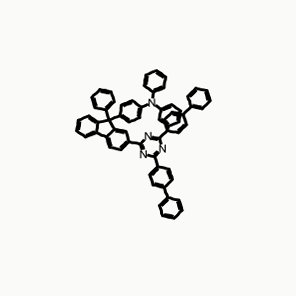 c1ccc(-c2ccc(-c3nc(-c4ccc(-c5ccccc5)cc4)nc(-c4ccc5c(c4)C(c4ccccc4)(c4ccc(N(c6ccccc6)c6ccccc6)cc4)c4ccccc4-5)n3)cc2)cc1